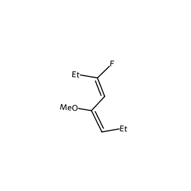 CC/C=C(\C=C(\F)CC)OC